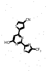 N#Cc1csc(-c2cc(O)nc(-c3nc(C(F)(F)F)cs3)n2)c1